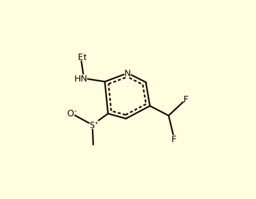 CCNc1ncc(C(F)F)cc1[S+](C)[O-]